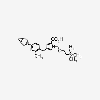 Cc1nc(N2CC3CC3C2)ccc1Cc1cc(C(=O)O)n(COCCS(C)(C)C)c1